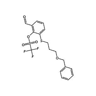 O=Cc1cccc(SCCCOCc2ccccc2)c1OS(=O)(=O)C(F)(F)F